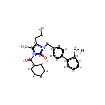 CC(C)CCc1c(C(F)(F)F)n(C(=O)C2CCCCC2)c(=O)n1Cc1ccc(-c2ccccc2C(=O)O)cc1